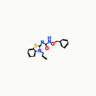 C=CCn1c(=NC(=O)NOCc2ccccc2)sc2ccccc21